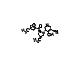 C[C@@H]1C[C@@H](c2cncc(C#N)c2O)N(C(=O)C23CC(C)(CO2)C3)C1